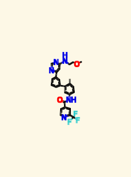 COCCNc1cc(-c2cccc(-c3cc(NC(=O)c4ccnc(C(F)(F)F)c4)ccc3C)c2)ncn1